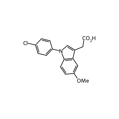 COc1ccc2c(c1)c(CC(=O)O)cn2-c1ccc(Cl)cc1